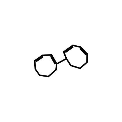 C1=C\CCCC(/C2=C/C=C\CCCC2)\C=C/1